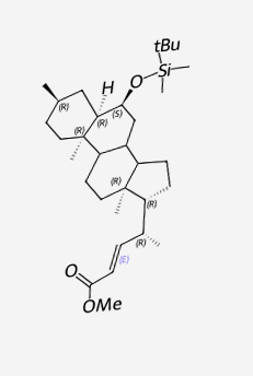 COC(=O)/C=C/[C@@H](C)[C@H]1CCC2C3C[C@H](O[Si](C)(C)C(C)(C)C)[C@@H]4C[C@H](C)CC[C@]4(C)C3CC[C@@]21C